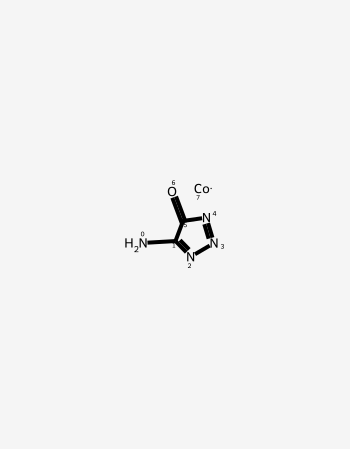 NC1=NN=NC1=O.[Co]